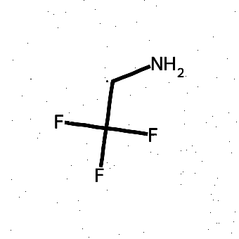 N[CH]C(F)(F)F